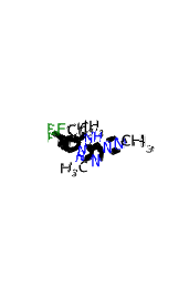 Cc1c([C@@H](C)Nc2nnc(C)c3ncc(N4CCN(C)CC4)cc23)cccc1C(F)(F)F